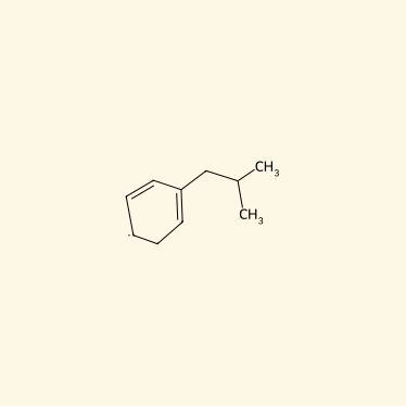 CC(C)CC1=CC[CH]C=C1